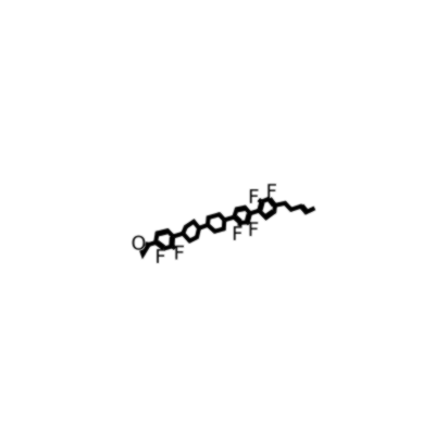 C/C=C/CCc1ccc(-c2ccc(C3CCC(C4CCC(c5ccc(C6CO6)c(F)c5F)CC4)CC3)c(F)c2F)c(F)c1F